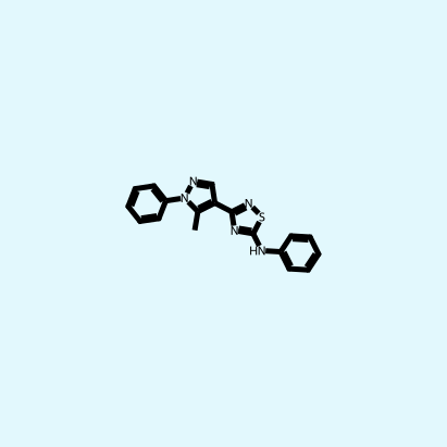 Cc1c(-c2nsc(Nc3ccccc3)n2)cnn1-c1ccccc1